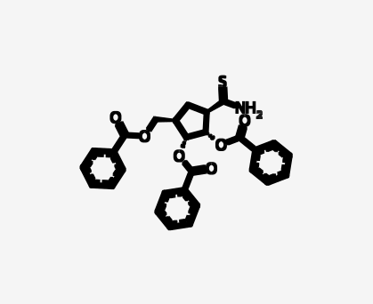 NC(=S)[C@@H]1C[C@H](COC(=O)c2ccccc2)[C@@H](OC(=O)c2ccccc2)[C@H]1OC(=O)c1ccccc1